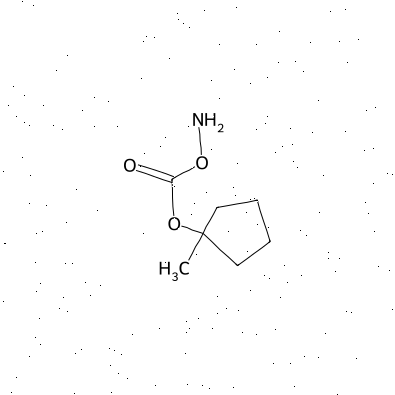 CC1(OC(=O)ON)CCCC1